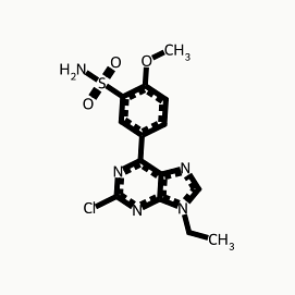 CCn1cnc2c(-c3ccc(OC)c(S(N)(=O)=O)c3)nc(Cl)nc21